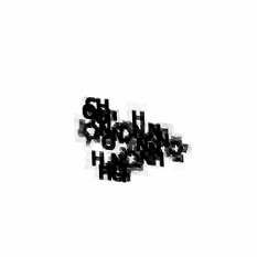 COC(=O)c1ccccc1NC(=O)N1CCC(Nc2nc(N[C@H]3CC[C@H](N)CC3)nc3c2ncn3C2CCCC2)CC1.Cl.Cl